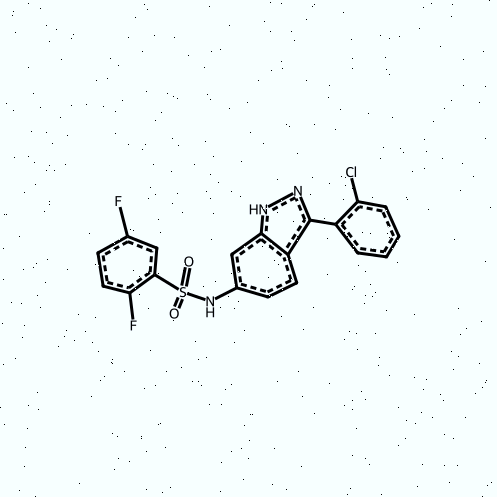 O=S(=O)(Nc1ccc2c(-c3ccccc3Cl)n[nH]c2c1)c1cc(F)ccc1F